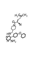 CN(C)C/C=C(\C#N)C(=O)N1CCC(CNc2ncnc(N)c2-c2ccc(Oc3ccccc3)cc2)CC1